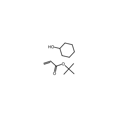 C=CC(=O)OC(C)(C)C.OC1CCCCC1